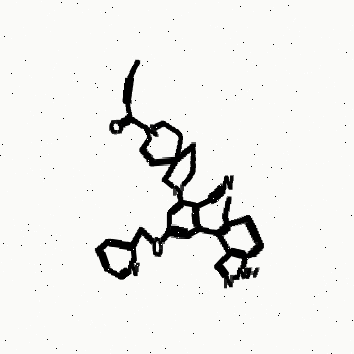 CC#CC(=O)N1CCC2(CC1)CCN(c1cc(OCc3ccccn3)cc(-c3c(C)ccc4[nH]ncc34)c1C#N)C2